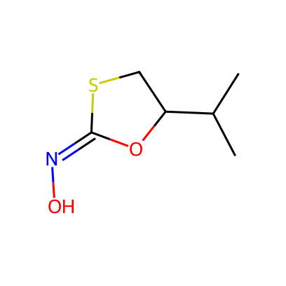 CC(C)C1CS/C(=N/O)O1